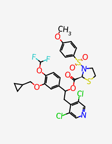 COc1ccc(S(=O)(=O)N2CCS[C@H]2C(=O)OC(Cc2c(Cl)cncc2Cl)c2ccc(OC(F)F)c(OCC3CC3)c2)cc1